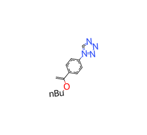 C=C(OCCCC)c1ccc(-n2cnnn2)cc1